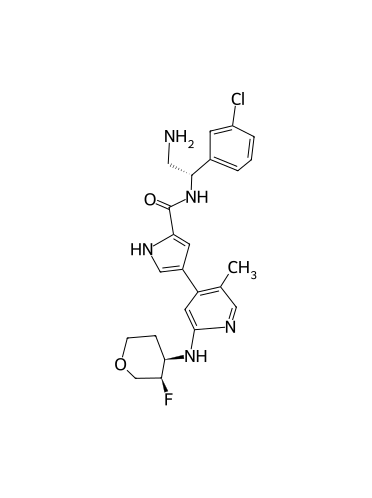 Cc1cnc(N[C@@H]2CCOC[C@@H]2F)cc1-c1c[nH]c(C(=O)N[C@H](CN)c2cccc(Cl)c2)c1